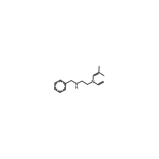 C=CN(C=C(C)C)CCNCc1ccccc1